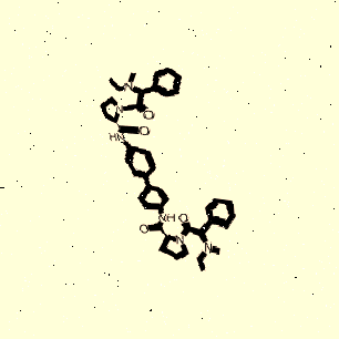 CCN(C)C(C(=O)N1CCC[C@H]1C(=O)Nc1ccc(-c2ccc(NC(=O)[C@@H]3CCCN3C(=O)C(c3ccccc3)N(C)CC)cc2)cc1)c1ccccc1